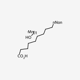 CCCCCCCCCCCCCCCCCC(=O)O.CCO.[Mn]